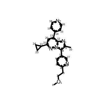 COCCc1ccc(-c2c(C)nc3c(-c4ccncc4)cc(C4CC4)nn23)cn1